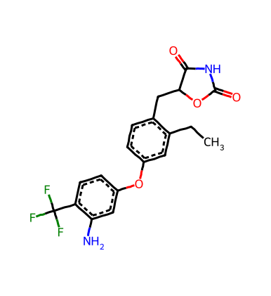 CCc1cc(Oc2ccc(C(F)(F)F)c(N)c2)ccc1CC1OC(=O)NC1=O